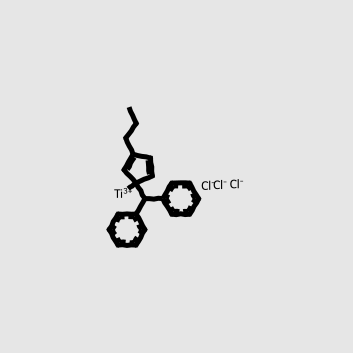 CCCC1=C[C]([Ti+3])(C(c2ccccc2)c2ccccc2)C=C1.[Cl-].[Cl-].[Cl-]